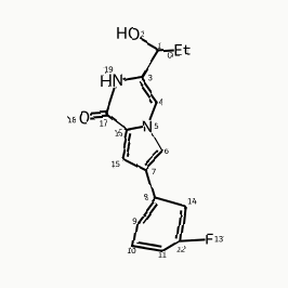 CCC(O)c1cn2cc(-c3cccc(F)c3)cc2c(=O)[nH]1